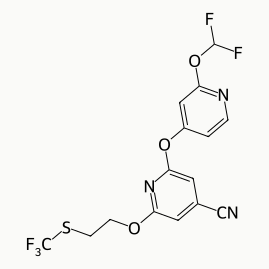 N#Cc1cc(OCCSC(F)(F)F)nc(Oc2ccnc(OC(F)F)c2)c1